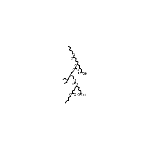 CCCCCOC(=O)CCCC(CCCC(=O)O)OC(=O)OCCN(CCOC(=O)OC(CCCC(=O)O)CCCC(=O)OCCCCC)CCN(CC)CC